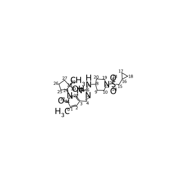 Cc1cc2cnc(NC3CCN(S(=O)(=O)CC4CC4)CC3)nc2n([C@H]2CCC[C@]2(C)O)c1=O